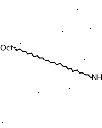 CCCCCCCCC=CCCCCCCCCCCCCCCCCCCCCCCCCCCN